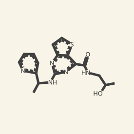 CC(O)CNC(=O)c1nc(NC(C)c2ccccn2)nc2ccsc12